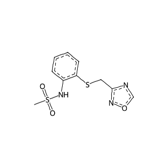 CS(=O)(=O)Nc1ccccc1SCc1ncon1